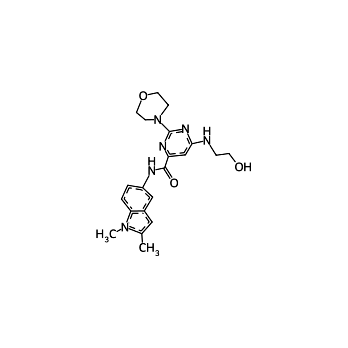 Cc1cc2cc(NC(=O)c3cc(NCCO)nc(N4CCOCC4)n3)ccc2n1C